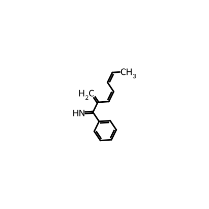 C=C(/C=C\C=C/C)C(=N)c1ccccc1